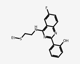 CCSCCNc1nc(-c2ccccc2O)nc2ccc(F)cc12